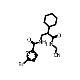 N#CCNC(=O)C(CNC(=O)c1ccc(Br)s1)C1CCCCC1